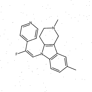 Cc1ccc2c(c1)c1c(n2/C=C(/F)c2ccncc2)CCN(C)C1